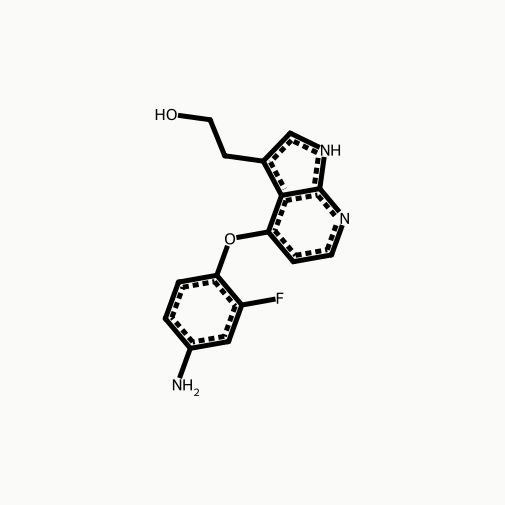 Nc1ccc(Oc2ccnc3[nH]cc(CCO)c23)c(F)c1